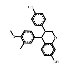 COc1ccc(C2c3ccc(O)cc3OCC2c2ccc(O)cc2)cc1C